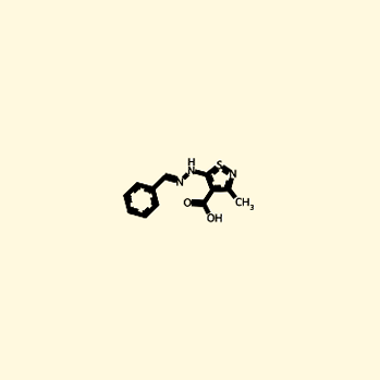 Cc1nsc(N/N=C/c2ccccc2)c1C(=O)O